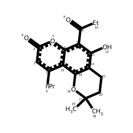 CCCc1cc(=O)oc2c(C(=O)CC)c(O)c3c(c12)OC(C)(C)CC3